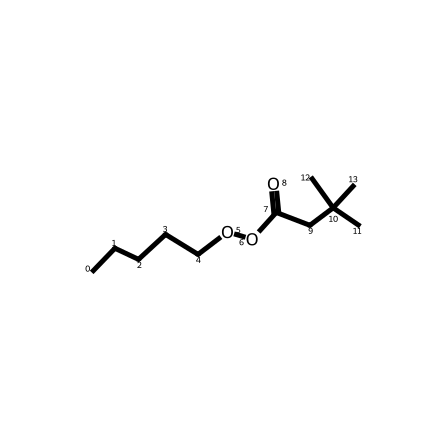 CCCCCOOC(=O)CC(C)(C)C